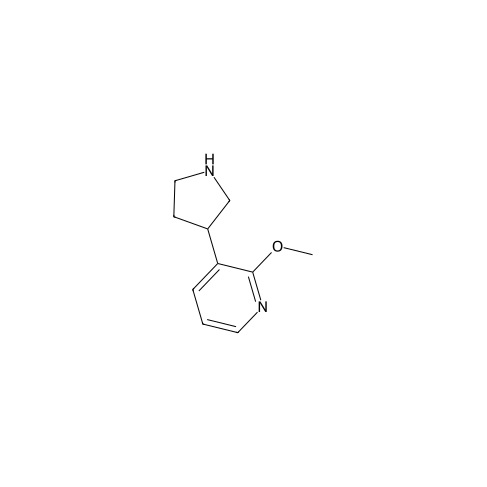 COc1ncccc1C1CCNC1